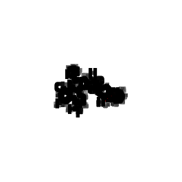 C[C@H]1CC2C[C@@H](S(=O)(=O)N[C@H]3CC4=C(c5ccn(C(F)F)n5)[C@H](c5ccc(F)cc5Cl)N=C(c5nccs5)N4C3)C[C@H]1C2(O)c1ccccn1